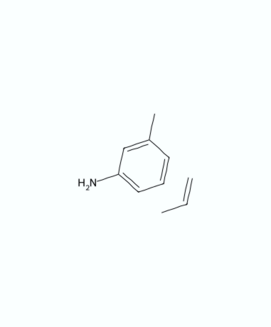 C=CC.Cc1cccc(N)c1